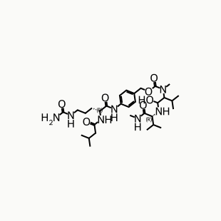 CNC(=O)[C@H](NC(O)C(C(C)C)N(C)C(=O)OCc1ccc(NC(=O)[C@@H](CCCNC(N)=O)NC(=O)CC(C)C)cc1)C(C)C